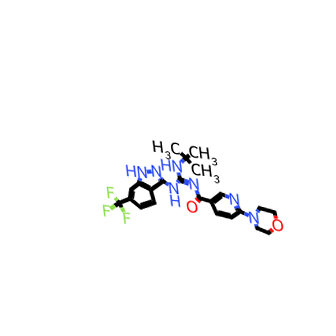 CC(C)(C)N/C(=N/C(=O)c1ccc(N2CCOCC2)nc1)Nc1n[nH]c2cc(C(F)(F)F)ccc12